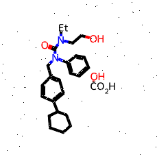 CCN(CCO)C(=O)N(Cc1ccc(C2CCCCC2)cc1)c1ccccc1.O=C(O)O